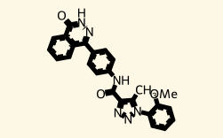 COc1ccccc1-n1nnc(C(=O)Nc2ccc(-c3n[nH]c(=O)c4ccccc34)cc2)c1C